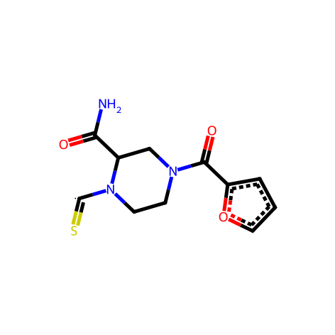 NC(=O)C1CN(C(=O)c2ccco2)CCN1[C]=S